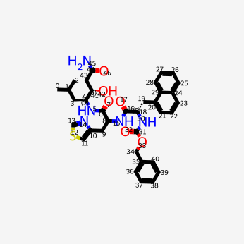 CC(C)C[C@H](NC(=O)C(Cc1cscn1)NC(=O)[C@H](Cc1cccc2ccccc12)NC(=O)OCc1ccccc1)[C@@H](O)CC(N)=O